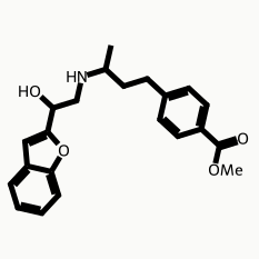 COC(=O)c1ccc(CCC(C)NCC(O)c2cc3ccccc3o2)cc1